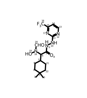 CC1(C)CCC(C(C(=O)NNc2nccc(C(F)(F)F)n2)N(O)C=O)CC1